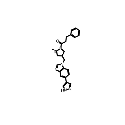 C[C@@H]1CC(Cn2cnc3cc(-c4cn[nH]c4)ccc32)CN1C(=O)CCc1ccccc1